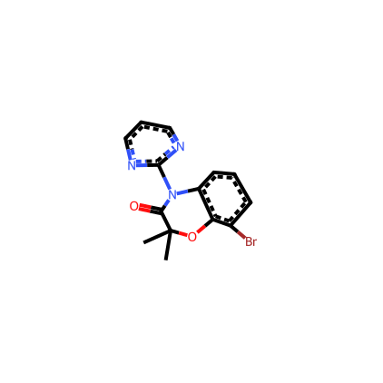 CC1(C)Oc2c(Br)cccc2N(c2ncccn2)C1=O